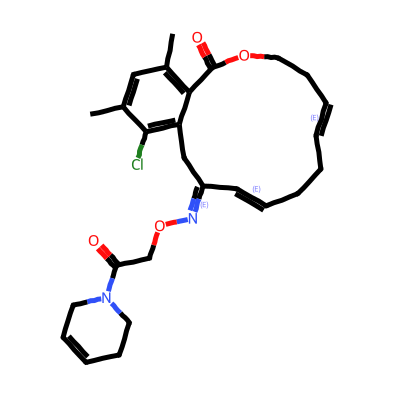 Cc1cc(C)c2c(c1Cl)CC(=N\OCC(=O)N1CC=CCC1)/C=C/CC/C=C/CCOC2=O